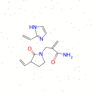 C=CC1CCN(CC(=C)C(N)=O)C1=O.C=Cc1ncc[nH]1